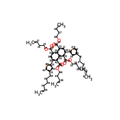 CCCCCCc1csc(-c2cc(C(=O)OCCCC)c3c(C(=O)OCCCC)cc(-c4cc(CCCCCC)cs4)c(C(=O)OCCCC)c3c2C(=O)OCCCC)c1